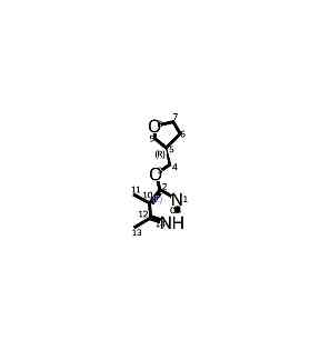 C=N/C(OC[C@@H]1CCOC1)=C(/C)C(C)=N